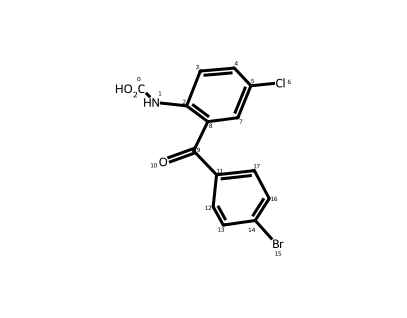 O=C(O)Nc1ccc(Cl)cc1C(=O)c1ccc(Br)cc1